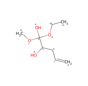 C=CCC(O)C(O)(OC)OCC